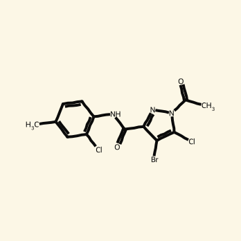 CC(=O)n1nc(C(=O)Nc2ccc(C)cc2Cl)c(Br)c1Cl